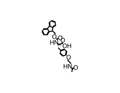 CC(=O)NCCOc1ccc(C[C@H](NC(=O)OCC2c3ccccc3-c3ccccc32)C(=O)O)cc1